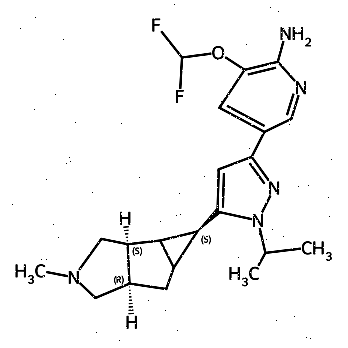 CC(C)n1nc(-c2cnc(N)c(OC(F)F)c2)cc1[C@H]1C2C[C@H]3CN(C)C[C@H]3C21